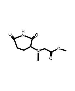 COC(=O)CN(C)C1CCC(=O)NC1=O